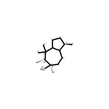 C[C@@H]1CCC2C1CC[C@@](C)(O)[C@H](C)C2(C)C